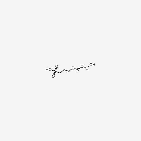 O=S(=O)(O)CCCOSOOO